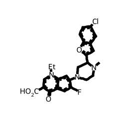 CCn1cc(C(=O)O)c(=O)c2cc(F)c(N3CCN(C)C(c4cc5cc(Cl)ccc5o4)C3)cc21